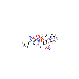 Cc1noc(NS(=O)(=O)c2ccccc2-c2ccc(-c3ncco3)cc2CN(C)C(=O)C2CCC2)c1C